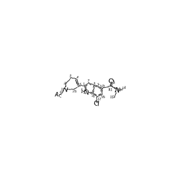 CC(=O)N1CCC=C(c2cc3cc(C(=O)N(C)C)cc(Cl)c3[nH]2)C1